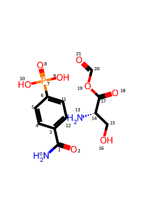 NC(=O)c1ccc(P(=O)(O)O)cc1.N[C@@H](CO)C(=O)OC=O